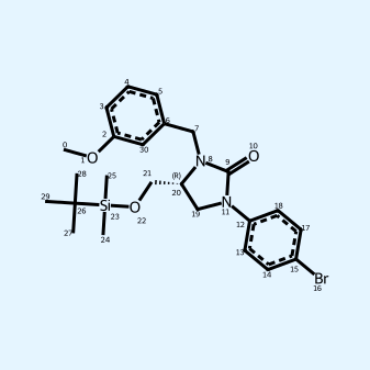 COc1cccc(CN2C(=O)N(c3ccc(Br)cc3)C[C@@H]2CO[Si](C)(C)C(C)(C)C)c1